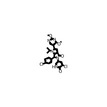 COc1ncc(-c2cc3c(n2C(C)C)C(c2ccc(Cl)cc2)N(c2c[nH]c(=O)c(Cl)c2)C3=O)c(OC)n1